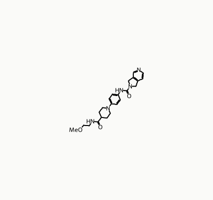 COCCNC(=O)C1CCN(c2ccc(NC(=O)N3Cc4ccncc4C3)cc2)CC1